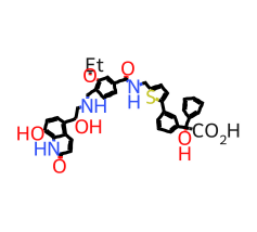 CCOc1cc(C(=O)NCc2ccc(-c3cccc(C(O)(C(=O)O)c4ccccc4)c3)s2)ccc1CNCC(O)c1ccc(O)c2[nH]c(=O)ccc12